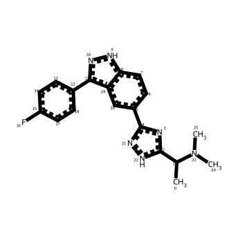 CC(c1nc(-c2ccc3[nH]nc(-c4ccc(F)cc4)c3c2)n[nH]1)N(C)C